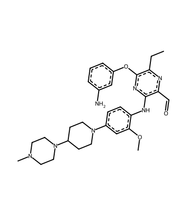 CCc1nc(C=O)c(Nc2ccc(N3CCC(N4CCN(C)CC4)CC3)cc2OC)nc1Oc1cccc(N)c1